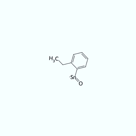 CCc1cccc[c]1[Sn]=[O]